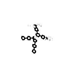 C[Si](C)(C)c1ccc(-c2cc(-c3ccc([Si](C)(C)C)cc3)cc(-n3cc(-c4ccc(-c5ccccc5)cc4)c4cc(-c5ccc(-c6ccccc6)cc5)ccc43)c2)cc1